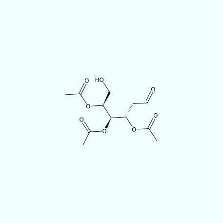 CC(=O)O[C@@H]([C@H](CO)OC(C)=O)[C@H](CC=O)OC(C)=O